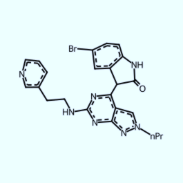 CCCn1cc2c(C3C(=O)Nc4ccc(Br)cc43)nc(NCCc3cccnc3)nc2n1